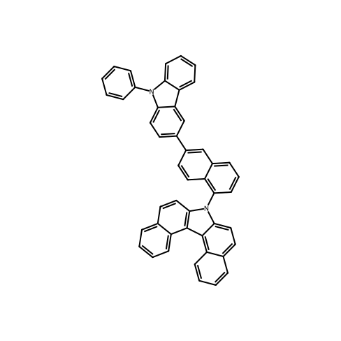 c1ccc(-n2c3ccccc3c3cc(-c4ccc5c(-n6c7ccc8ccccc8c7c7c8ccccc8ccc76)cccc5c4)ccc32)cc1